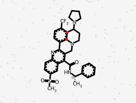 C[C@H](NC(=O)c1c(CN2CCC(N3CCCC3)CC2)c(-c2ccc(C(F)(F)F)cc2)nc2ccc(S(C)(=O)=O)cc12)c1ccccc1